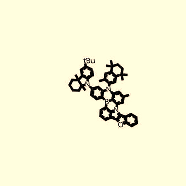 Cc1cc2c3c(c1)-n1c4c(cccc4c4oc5ccccc5c41)B3c1ccc(N3c4ccc(C(C)(C)C)cc4C4(C)CCCCC34C)cc1N2c1cc2c(cc1C)C(C)(C)CCC2(C)C